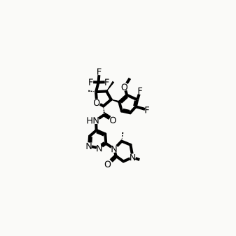 COc1c([C@H]2[C@H](C(=O)Nc3cnnc(N4C(=O)CN(C)C[C@H]4C)c3)O[C@@](C)(C(F)(F)F)[C@H]2C)ccc(F)c1F